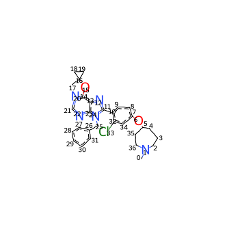 CN1CCC[C@@H](Oc2ccc(-c3nc4c(OC5(C)CC5)ncnc4n3Cc3ccccc3)c(Cl)c2)CC1